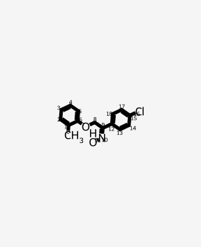 Cc1ccccc1OCC(=NO)c1ccc(Cl)cc1